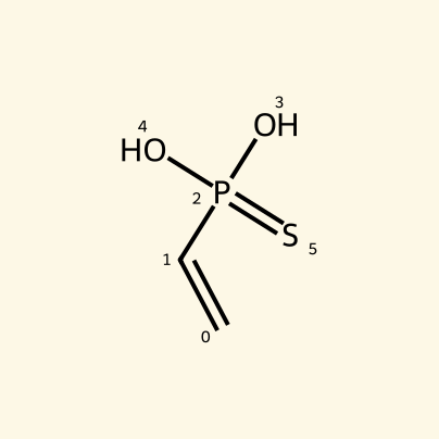 C=CP(O)(O)=S